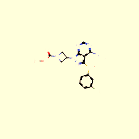 CC(C)(C)OC(=O)N1CC(n2nc([S+]([O-])c3cccc(Cl)c3)c3c(N)ncnc32)C1